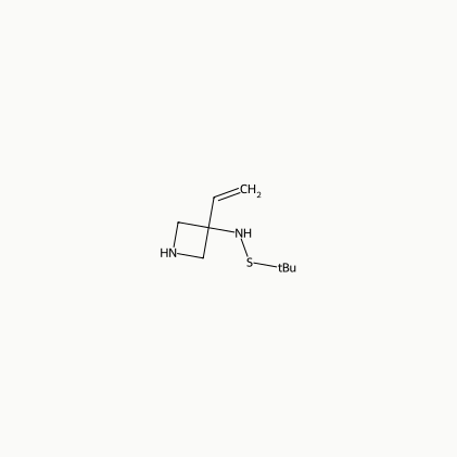 C=CC1(NSC(C)(C)C)CNC1